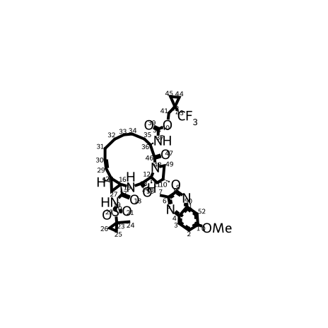 COc1ccc2nc(C)c(O[C@@H]3C[C@H]4C(=O)N[C@]5(C(=O)NS(=O)(=O)C6(C)CC6)C[C@H]5/C=C\CCCCC[C@H](NC(=O)OCC5(C(F)(F)F)CC5)C(=O)N4C3)nc2c1